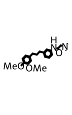 COc1ccc(CCCc2cccc(NC(=O)CN(C)C)c2)cc1OC